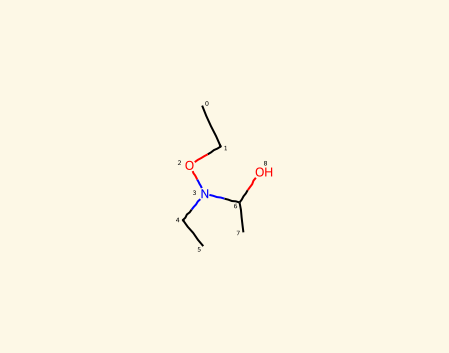 CCON(CC)C(C)O